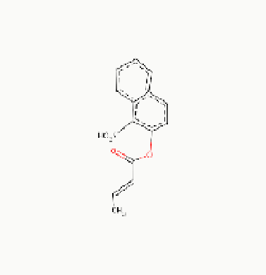 CC=CC(=O)Oc1ccc2ccccc2c1S(=O)(=O)O